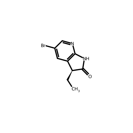 CC[C@@H]1C(=O)Nc2ncc(Br)cc21